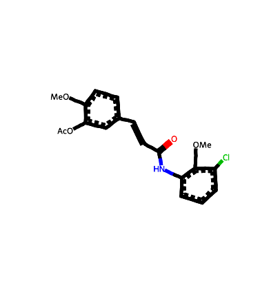 COc1ccc(C=CC(=O)Nc2cccc(Cl)c2OC)cc1OC(C)=O